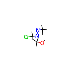 COC(C)(C)CC(C)(Cl)N=NC(C)(C)C